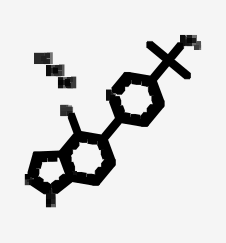 CCc1c(-c2ccc(C(C)(C)N)cn2)ccc2[nH]ncc12.Cl.Cl.Cl